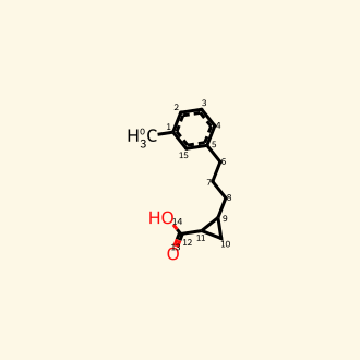 Cc1cccc(CCCC2CC2C(=O)O)c1